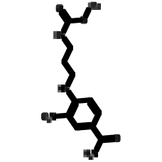 CC(C)(C)OC(=O)NCCCNc1ccc(C(N)=O)cc1[N+](=O)[O-]